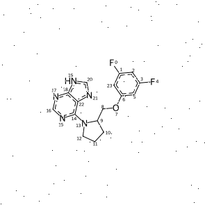 Fc1cc(F)cc(OCC2CCCN2c2ncnc3[nH]cnc23)c1